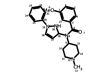 COc1cccc(C(=O)N(C2CCN(C)CC2)C2C=CN(c3ccccc3)N2)c1